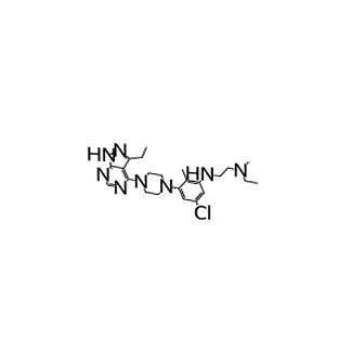 CCc1n[nH]c2ncnc(N3CCN(c4cc(Cl)cc(NCCN(C)CC)c4C)CC3)c12